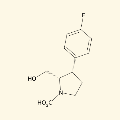 O=C(O)N1CC[C@@H](c2ccc(F)cc2)[C@H]1CO